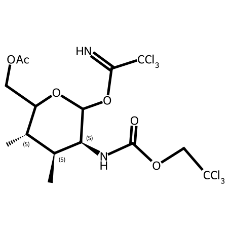 CC(=O)OCC1OC(OC(=N)C(Cl)(Cl)Cl)[C@@H](NC(=O)OCC(Cl)(Cl)Cl)[C@@H](C)[C@@H]1C